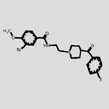 COc1ccc(C(=O)NCCN2CCC(C(=O)c3ccc(F)cc3)CC2)cc1Br